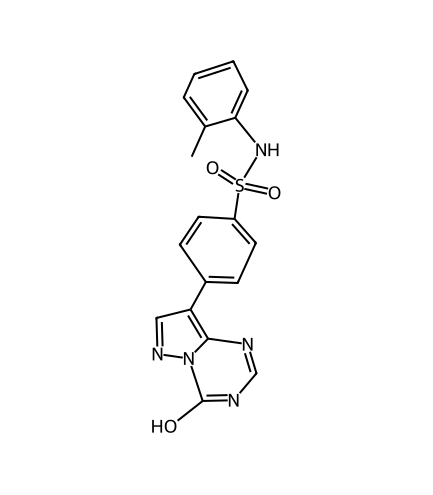 Cc1ccccc1NS(=O)(=O)c1ccc(-c2cnn3c(O)ncnc23)cc1